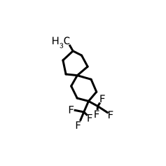 CC1CCC2(CC1)CCC(C(F)(F)F)(C(F)(F)F)CC2